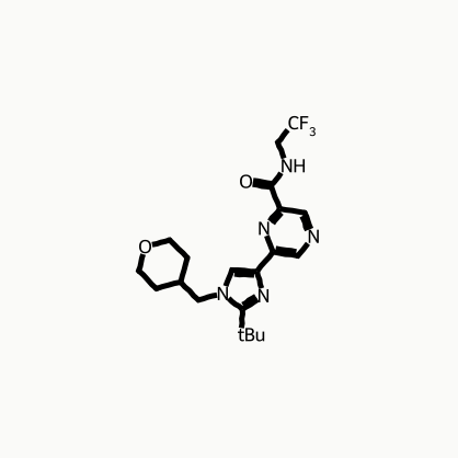 CC(C)(C)c1nc(-c2cncc(C(=O)NCC(F)(F)F)n2)cn1CC1CCOCC1